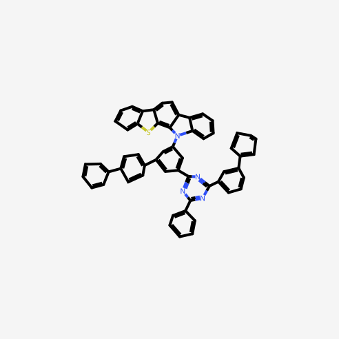 c1ccc(-c2ccc(-c3cc(-c4nc(-c5ccccc5)nc(-c5cccc(-c6ccccc6)c5)n4)cc(-n4c5ccccc5c5ccc6c7ccccc7sc6c54)c3)cc2)cc1